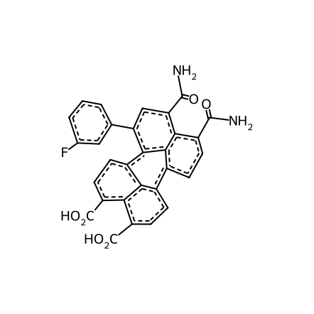 NC(=O)c1ccc2c3ccc(C(=O)O)c4c(C(=O)O)ccc(c5c(-c6cccc(F)c6)cc(C(N)=O)c1c25)c43